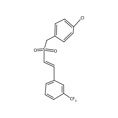 O=S(=O)(/C=C/c1cccc(C(F)(F)F)c1)Cc1ccc(Cl)cc1